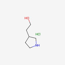 Cl.OCCC1CCNC1